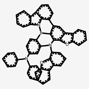 c1ccc(N(c2ccccc2)c2ccc3c(c2)N(c2cccc4c2oc2ccccc24)c2c4c(cc5c2oc2ccccc25)-c2cccc5c6ccccc6n(c25)B34)cc1